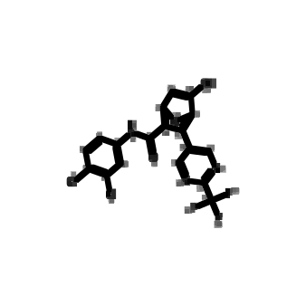 O=C(Nc1ccc(Cl)c(Cl)c1)c1c(-c2cnc(C(F)(F)F)nc2)c2oc1cc2O